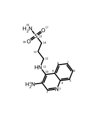 Nc1cnc2ccccc2c1NCCCS(N)(=O)=O